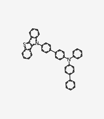 c1ccc(-c2ccc(N(c3ccccc3)c3ccc(-c4ccc(-n5c6ccccc6c6sc7ccccc7c65)cc4)cc3)cc2)cc1